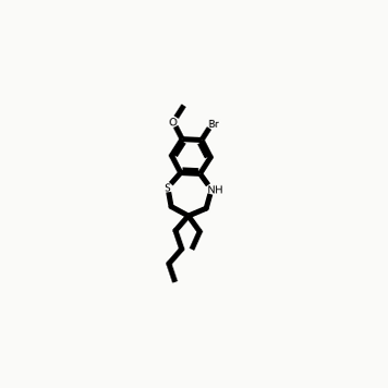 CCCCC1(CC)CNc2cc(Br)c(OC)cc2SC1